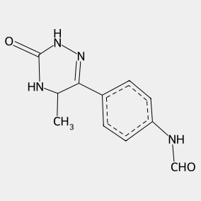 CC1NC(=O)NN=C1c1ccc(NC=O)cc1